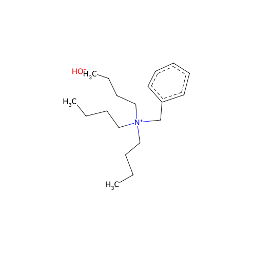 CCCC[N+](CCCC)(CCCC)Cc1ccccc1.[OH-]